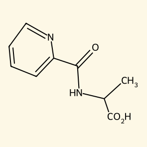 CC(NC(=O)c1ccccn1)C(=O)O